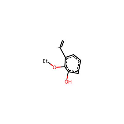 C=[C]c1cccc(O)c1OCC